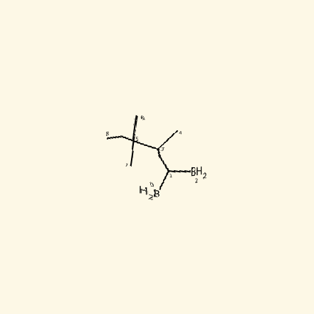 BC(B)C(C)C(C)(C)C